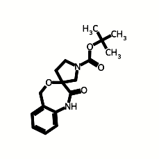 CC(C)(C)OC(=O)N1CCC2(C1)OCc1ccccc1NC2=O